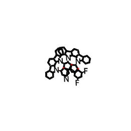 N#Cc1cc(-n2c3ccccc3c3ccc4c5ccccc5n(-c5ccccc5)c4c32)c(-n2c3ccccc3c3ccc4c5ccccc5n(-c5ccccc5)c4c32)cc1-c1cc(F)cc(F)c1